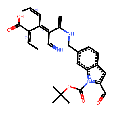 C=C(NCc1ccc2cc(C=O)n(C(=O)OC(C)(C)C)c2c1)/C(C=N)=C(\C=C/C)C(=C\C)/C(=O)O